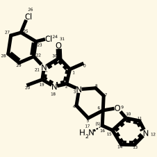 Cc1c(N2CCC3(CC2)Oc2cnccc2[C@@H]3N)nc(C)n(C2=C(Cl)C(Cl)CC=C2)c1=O